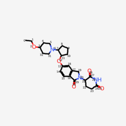 CCOC1CCN(C2CCCC2Oc2ccc3c(c2)CN(C2CCC(=O)NC2=O)C3=O)CC1